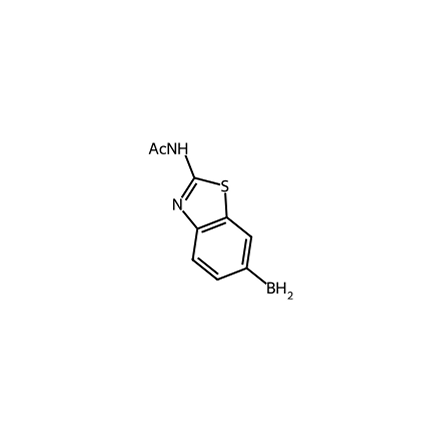 Bc1ccc2nc(NC(C)=O)sc2c1